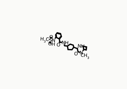 CN(C(=O)[C@@H](N)C1CCC(CNC(=O)c2ccccc2NS(C)(=O)=O)CC1)C1CCC1